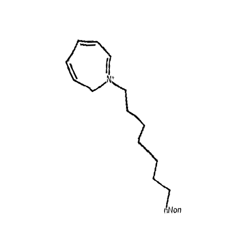 CCCCCCCCCCCCCCCC[N+]1=CC=CC=CC1